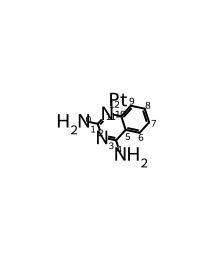 Nc1nc(N)c2ccccc2n1.[Pt]